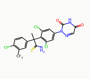 CC(C(N)=S)(c1ccc(Cl)c(C(F)(F)F)c1)c1c(Cl)cc(-n2ncc(=O)[nH]c2=O)cc1Cl